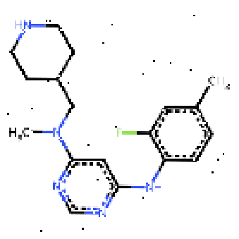 Cc1ccc(Nc2cc(N(C)CC3CCNCC3)ncn2)c(F)c1